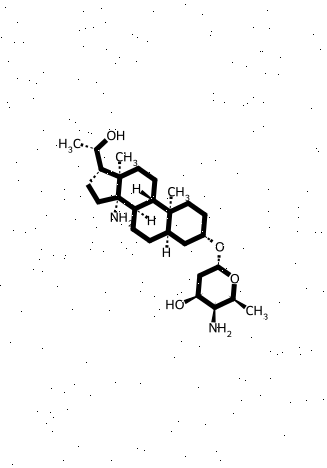 C[C@H](O)[C@H]1CC[C@]2(N)[C@@H]3CC[C@@H]4C[C@@H](O[C@H]5C[C@H](O)[C@H](N)[C@H](C)O5)CC[C@]4(C)[C@H]3CC[C@]12C